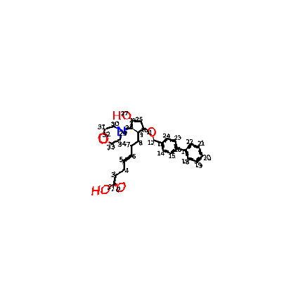 O=C(O)CCC=CCCC1C(OCc2ccc(-c3ccccc3)cc2)CC(O)C1N1CCOCC1